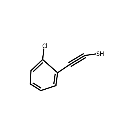 SC#Cc1ccccc1Cl